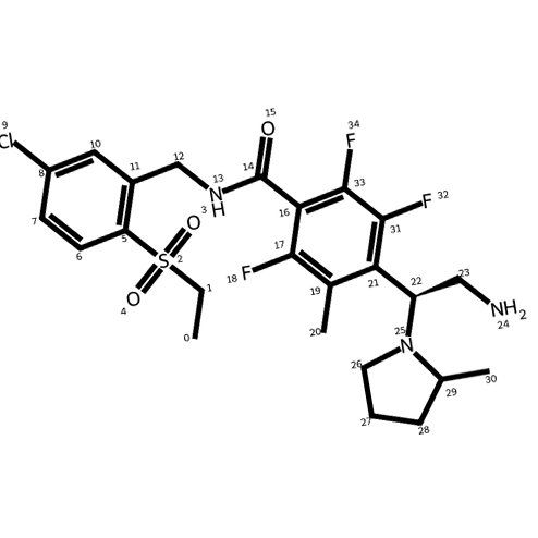 CCS(=O)(=O)c1ccc(Cl)cc1CNC(=O)c1c(F)c(C)c([C@@H](CN)N2CCCC2C)c(F)c1F